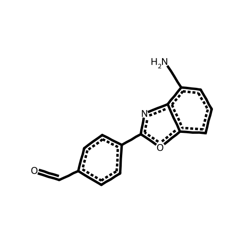 Nc1cccc2oc(-c3ccc(C=O)cc3)nc12